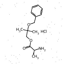 C[C@H](N)C(=O)OCC(C)(C)OCc1ccccc1.Cl